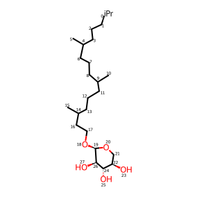 CC(C)CCCC(C)CCCC(C)CCCC(C)CCO[C@H]1OC[C@@H](O)[C@H](O)[C@H]1O